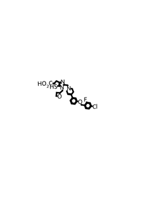 O=C(O)C1=[SH]c2c(nc(CN3CC=C(c4cccc(OCc5ccc(Cl)cc5F)c4)CC3)n2CC2CCO2)C1